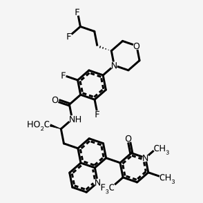 Cc1cc(C(F)(F)F)c(-c2ccc(C[C@H](NC(=O)c3c(F)cc(N4CCOC[C@H]4CCC(F)F)cc3F)C(=O)O)c3cccnc23)c(=O)n1C